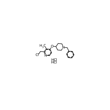 Cc1c(OC2CCN(Cc3ccccc3)CC2)ccnc1CCl.Cl.Cl